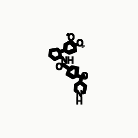 COc1ccc(C2CCCCC2NC(=O)c2ccc(C(=O)C3CCNCC3)cc2)cc1OC